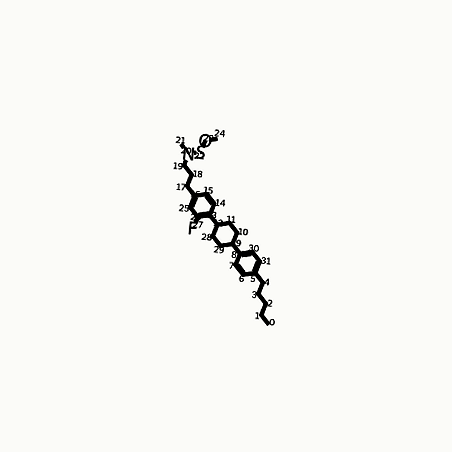 CCCCCc1ccc(C2CCC(c3ccc(CCCN(C)SOC)cc3F)CC2)cc1